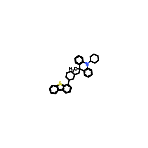 CC1(CC2CCCC(c3cccc4c3sc3ccccc34)C2)c2ccccc2N(C2CCCCC2)c2ccccc21